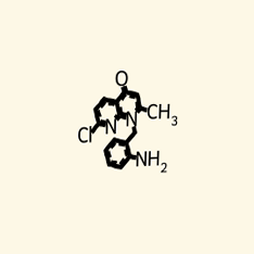 Cc1cc(=O)c2ccc(Cl)nc2n1Cc1ccccc1N